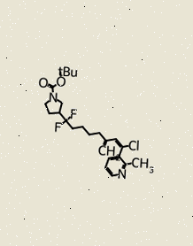 C=C(/C=C(/Cl)c1cccnc1C)CCCCC(F)(F)C1CCN(C(=O)OC(C)(C)C)C1